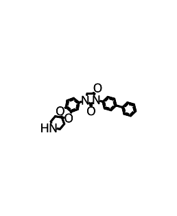 O=C1CN(c2ccc3c(c2)OC2(CCNCC2)O3)C(=O)N1c1ccc(-c2ccccc2)cc1